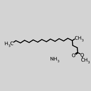 CCCCCCCCCCCCCCC(C)CCC(=O)OC.N